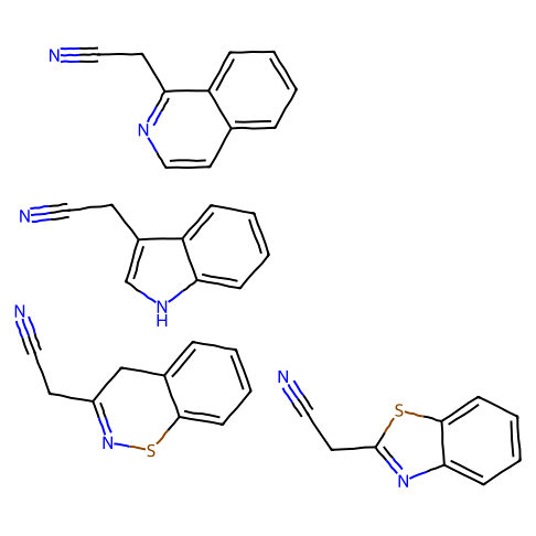 N#CCC1=NSc2ccccc2C1.N#CCc1c[nH]c2ccccc12.N#CCc1nc2ccccc2s1.N#CCc1nccc2ccccc12